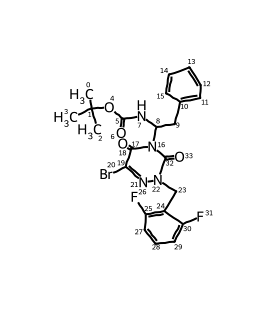 CC(C)(C)OC(=O)NC(Cc1ccccc1)n1c(=O)c(Br)nn(Cc2c(F)cccc2F)c1=O